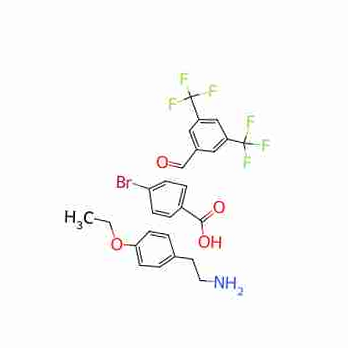 CCOc1ccc(CCN)cc1.O=C(O)c1ccc(Br)cc1.O=Cc1cc(C(F)(F)F)cc(C(F)(F)F)c1